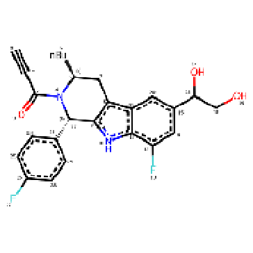 C#CC(=O)N1[C@@H](CCCC)Cc2c([nH]c3c(F)cc(C(O)CO)cc23)[C@@H]1c1ccc(F)cc1